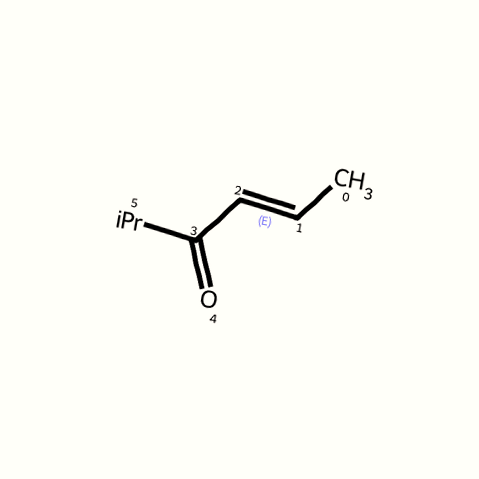 C/C=C/C(=O)C(C)C